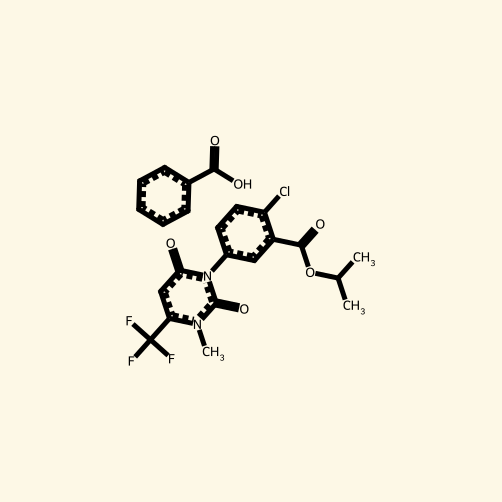 CC(C)OC(=O)c1cc(-n2c(=O)cc(C(F)(F)F)n(C)c2=O)ccc1Cl.O=C(O)c1ccccc1